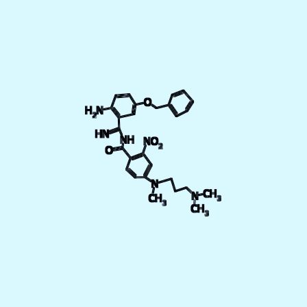 CN(C)CCCN(C)c1ccc(C(=O)NC(=N)c2cc(OCc3ccccc3)ccc2N)c([N+](=O)[O-])c1